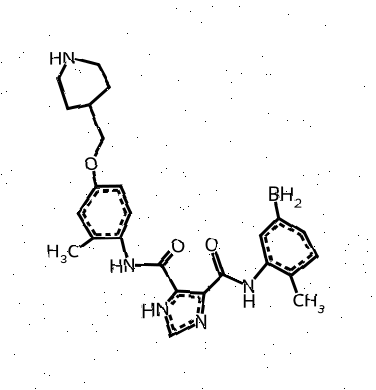 Bc1ccc(C)c(NC(=O)c2nc[nH]c2C(=O)Nc2ccc(OCC3CCNCC3)cc2C)c1